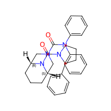 O=C(N1C[C@H]2CCC[C@@H](C1)N2C(=O)N1CCCC1c1ccccc1)N(c1ccccc1)c1ccccc1